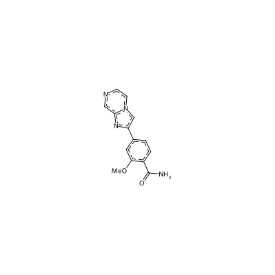 COc1cc(-c2cn3ccncc3n2)ccc1C(N)=O